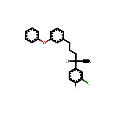 C#CC(CC)(CCCc1cccc(Oc2ccccc2)c1)c1ccc(F)c(Cl)c1